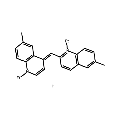 CCN1C=CC(=Cc2ccc3cc(C)ccc3[n+]2CC)c2cc(C)ccc21.[I-]